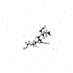 C=CC1CC1N(C(=O)NS(=O)(=O)C1CC1)C(=O)C1CC(N)CN1C(=O)CC(C)(C)CNC(=O)OC(C)(C)C